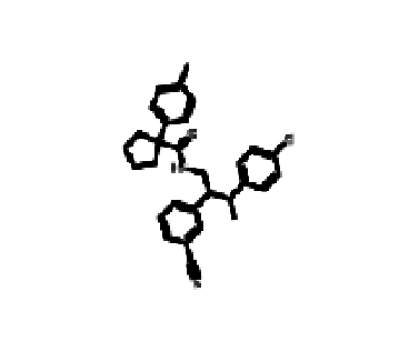 Cc1ccc(C2(C(=O)NCC(c3cccc(C#N)c3)C(C)c3ccc(Cl)cc3)CCCC2)cc1